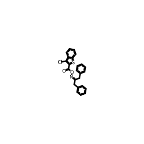 O=C(ON=C(Cc1ccccc1)Cc1ccccc1)c1sc2ccccc2c1Cl